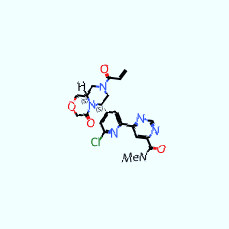 C=CC(=O)N1C[C@H]2COCC(=O)N2[C@@H](c2cc(Cl)nc(-c3cc(C(=O)NC)ncn3)c2)C1